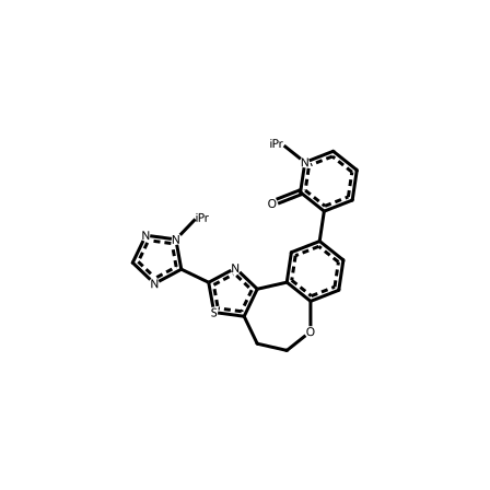 CC(C)n1ncnc1-c1nc2c(s1)CCOc1ccc(-c3cccn(C(C)C)c3=O)cc1-2